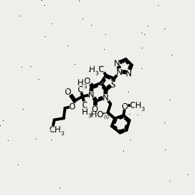 CCCCOC(=O)C(C)(C)n1c(=O)c2c(C)c(-n3nccn3)sc2n(C[C@@H](O)c2ccccc2OC)c1=O